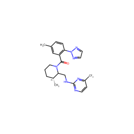 Cc1ccc(-n2nccn2)c(C(=O)N2CCC[C@@H](C)C2CNc2nccc(C(F)(F)F)n2)c1